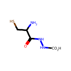 NC(CS)C(=O)NNC(=O)O